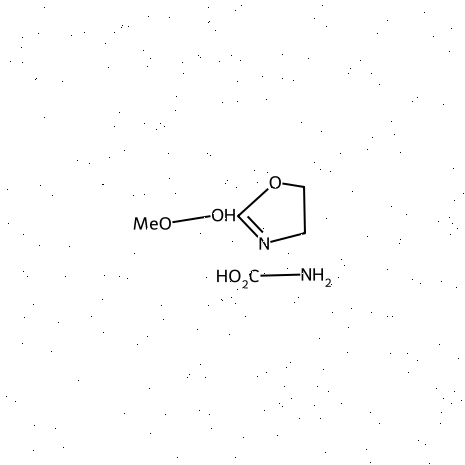 C1=NCCO1.COO.NC(=O)O